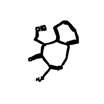 NC1=NCc2ccccc2N(CC=O)C1=O